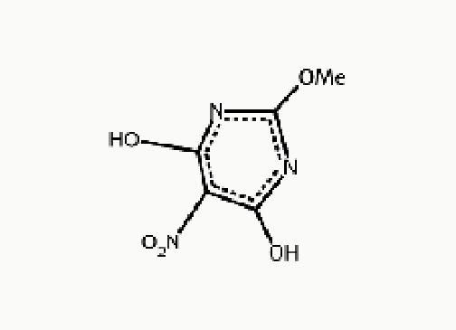 COc1nc(O)c([N+](=O)[O-])c(O)n1